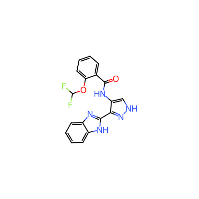 O=C(Nc1c[nH]nc1-c1nc2ccccc2[nH]1)c1ccccc1OC(F)F